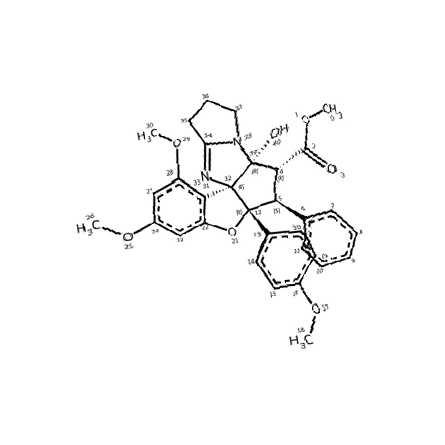 COC(=O)[C@@H]1[C@@H](c2ccccc2)[C@]2(c3ccc(OC)cc3)Oc3cc(OC)cc(OC)c3[C@@]23N=C2CCCN2[C@@]13O